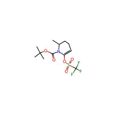 CC1CCC=C(OS(=O)(=O)C(F)(F)F)N1C(=O)OC(C)(C)C